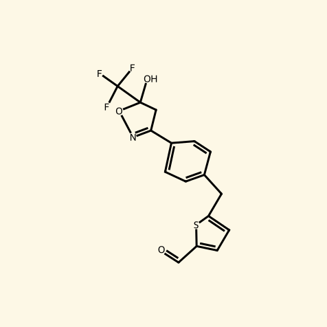 O=Cc1ccc(Cc2ccc(C3=NOC(O)(C(F)(F)F)C3)cc2)s1